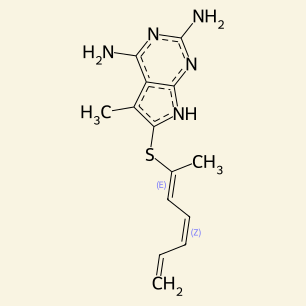 C=C/C=C\C=C(/C)Sc1[nH]c2nc(N)nc(N)c2c1C